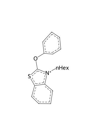 CCCCCC[n+]1c(Oc2ccccc2)sc2ccccc21